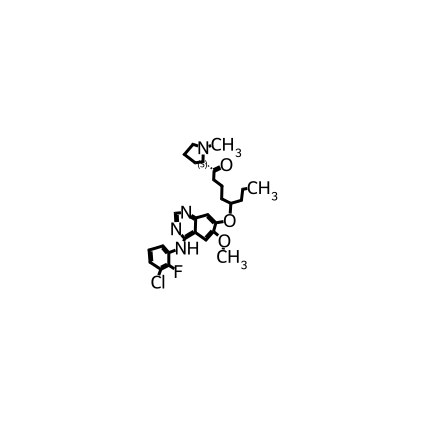 CCCC(CCCC(=O)[C@@H]1CCCN1C)Oc1cc2ncnc(Nc3cccc(Cl)c3F)c2cc1OC